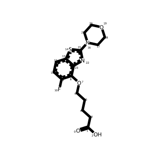 O=C(O)CCCCOc1c(F)ccc2sc(N3CCOCC3)nc12